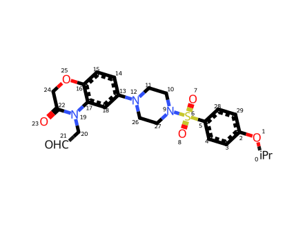 CC(C)Oc1ccc(S(=O)(=O)N2CCN(c3ccc4c(c3)N(CC=O)C(=O)CO4)CC2)cc1